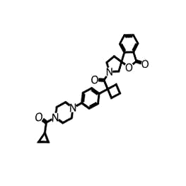 O=C1OC2(CCN(C(=O)C3(c4ccc(N5CCN(C(=O)C6CC6)CC5)cc4)CCC3)C2)c2ccccc21